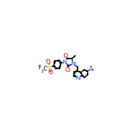 CC1C(=O)N(c2ccc(S(=O)(=O)C(F)(F)F)cc2)C(=O)N1Cc1ccnc2ccc(N(C)C)cc12